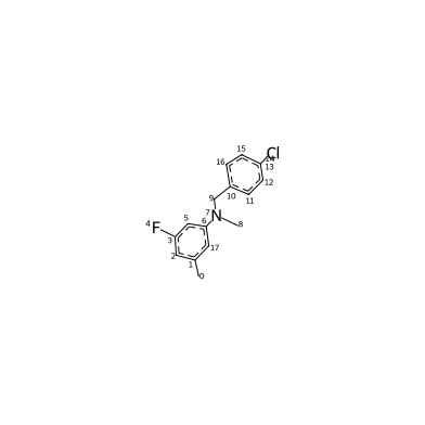 Cc1cc(F)cc(N(C)Cc2ccc(Cl)cc2)c1